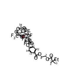 CCC(C)(C)C(=O)OCCOC(=O)c1ccc(OS(=O)(=O)C(F)(F)C(F)(F)C(F)(F)S(=O)(=O)C(S(C)(=O)=O)S(=O)(=O)C(F)(F)F)cc1